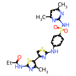 CCC(=O)Nc1nc(C)c(-c2csc(Nc3ccc(S(=O)(=O)Nc4nc(C)cc(C)n4)cc3)n2)s1